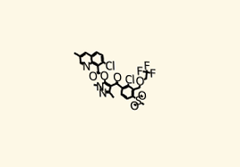 Cc1cnc2c(C(=O)Oc3c(C(=O)c4ccc(S(C)(=O)=O)c(COCC(F)(F)F)c4Cl)c(C)nn3C)c(Cl)ccc2c1